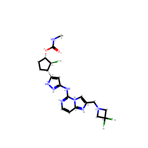 CC(C)NC(=O)O[C@H]1CC[C@@H](c2cc(Nc3nccc4nc(CN5CC(F)(F)C5)cn34)n[nH]2)[C@@H]1F